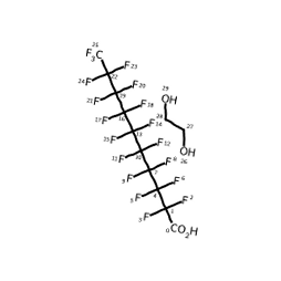 O=C(O)C(F)(F)C(F)(F)C(F)(F)C(F)(F)C(F)(F)C(F)(F)C(F)(F)C(F)(F)C(F)(F)F.OCCO